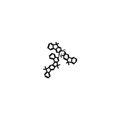 CC1(C)c2ccccc2-c2cc3c(cc21)Sc1cc2c(cc1N3c1cc3c(c4ccccc14)-c1cc4c(cc1C3(C)C)-c1ccccc1C4(C)C)C(C)(C)c1ccccc1-2